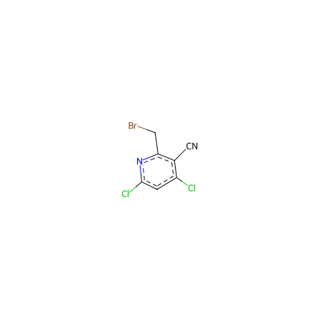 N#Cc1c(Cl)cc(Cl)nc1CBr